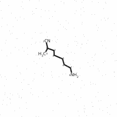 CC(C#N)CCCCCN